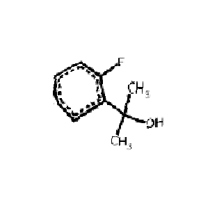 CC(C)(O)c1c[c]ccc1F